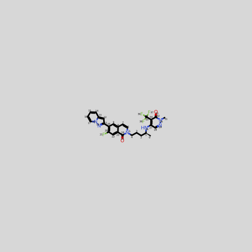 C[C@@H](CCCn1ccc2cc(-c3cc4ccccn4n3)c(F)cc2c1=O)Nc1cnn(C)c(=O)c1C(F)(F)F